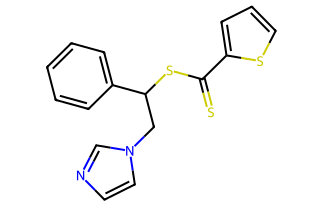 S=C(SC(Cn1ccnc1)c1ccccc1)c1cccs1